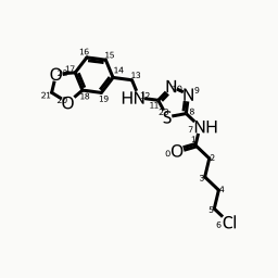 O=C(CCCCCl)Nc1nnc(NCc2ccc3c(c2)OCO3)s1